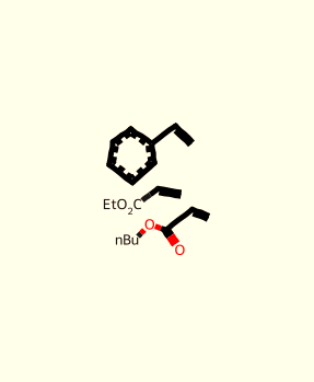 C=CC(=O)OCC.C=CC(=O)OCCCC.C=Cc1ccccc1